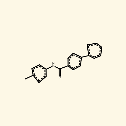 [CH2]c1ccc(NC(=O)c2ccc(-c3ccccc3)cc2)cc1